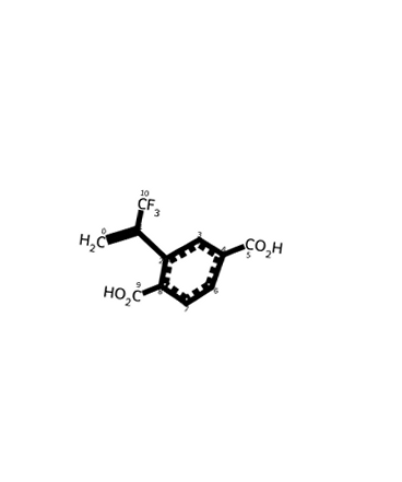 C=C(c1cc(C(=O)O)ccc1C(=O)O)C(F)(F)F